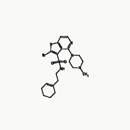 CN1CCN(c2nccc3sc(Br)c(S(=O)(=O)NCCC4=CCCCC4)c23)CC1